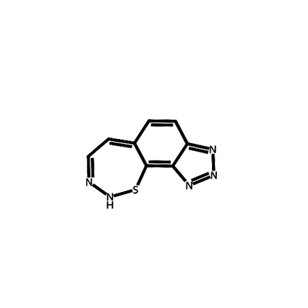 C1=NNSc2c3c(ccc2=C1)=NN=N3